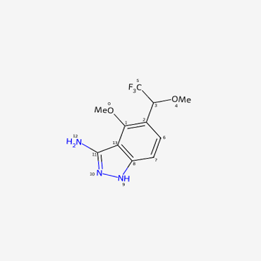 COc1c(C(OC)C(F)(F)F)ccc2[nH]nc(N)c12